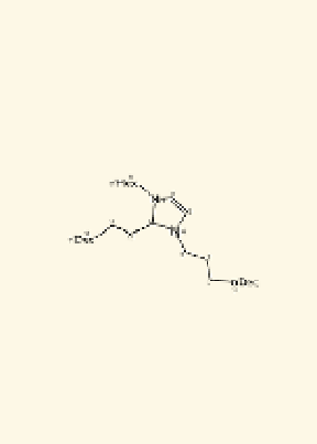 CCCCCCCCCCCCCN1C=CN(CCCCCC)C1CCCCCCCCCCCC